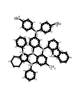 Cc1cc2c3c(c1)N(c1cccc4c1oc1ccccc14)c1cc(N(c4ccc(C(C)(C)C)cc4)c4ccc(C(C)(C)C)cc4)ccc1B3c1c(c3c(n1-c1ccccc1)CCCC3)N2c1ccccc1